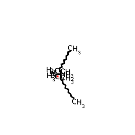 CCCCCCCCCCCC(C)(C)C(N)(C(Br)Br)C(C)(C)CCCCCCCCCCC.N